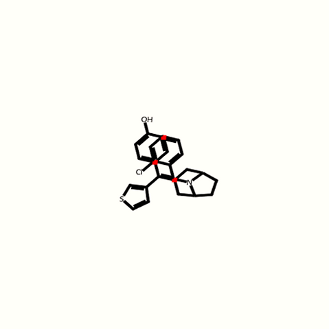 Oc1ccc(C(=C2CC3CCC(C2)N3Cc2ccccc2Cl)c2ccsc2)cc1